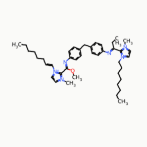 CCCCCC/C=C/[n+]1ccn(C)c1/C(=N/c1ccc(Cc2ccc(/N=C(\CC)c3n(C)cc[n+]3CCCCCCCC)cc2)cc1)OC